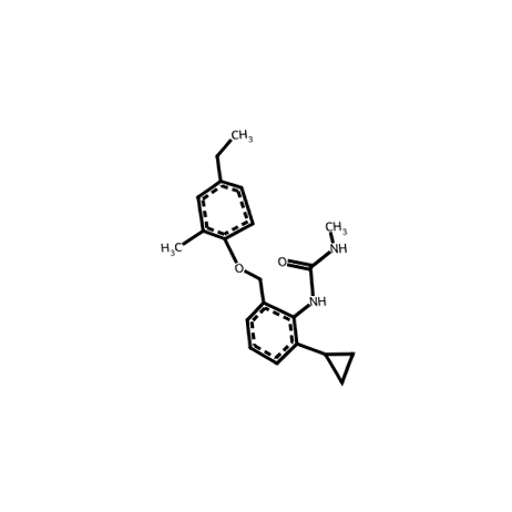 CCc1ccc(OCc2cccc(C3CC3)c2NC(=O)NC)c(C)c1